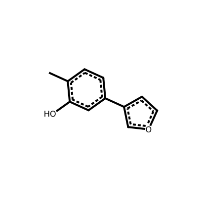 Cc1ccc(-c2ccoc2)cc1O